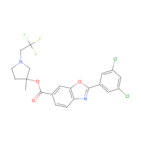 CC1(OC(=O)c2ccc3nc(-c4cc(Cl)cc(Cl)c4)oc3c2)CCN(CC(F)(F)F)C1